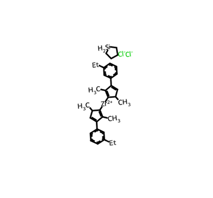 C1CC[SiH2]C1.CCc1cccc(C2=CC(C)[C]([Zr+2][C]3=C(C)C(c4cccc(CC)c4)=CC3C)=C2C)c1.[Cl-].[Cl-]